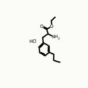 CCCc1cccc(CC(N)C(=O)OCC)c1.Cl